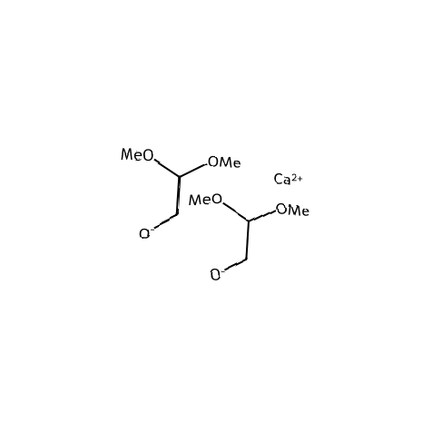 COC(C[O-])OC.COC(C[O-])OC.[Ca+2]